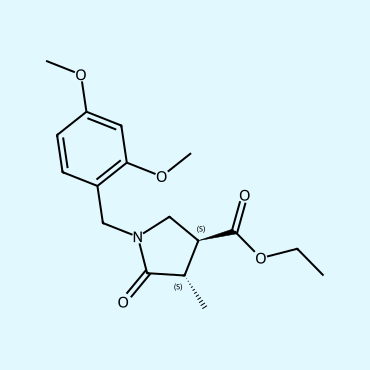 CCOC(=O)[C@@H]1CN(Cc2ccc(OC)cc2OC)C(=O)[C@H]1C